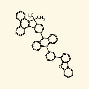 CC1(C)c2ccc(-c3c4ccccc4c(-c4cccc(-c5cccc6c5oc5ccccc56)c4)c4ccccc34)cc2-c2c1c1ccccc1c1ccccc21